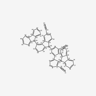 N#Cc1cc(-c2cccc(C#N)c2-n2c3ccccc3c3ccccc32)cc(-n2c3ccc(C#N)cc3c3c(-n4c5ccccc5c5ccccc54)cccc32)c1